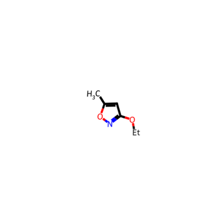 CCOc1cc(C)on1